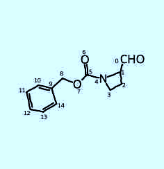 O=CC1CCN1C(=O)OCc1ccccc1